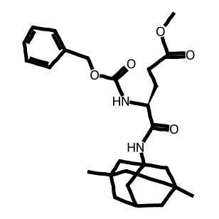 COC(=O)CC[C@H](NC(=O)OCc1ccccc1)C(=O)NC12CC3CC(C)(CC(C)(C3)C1)C2